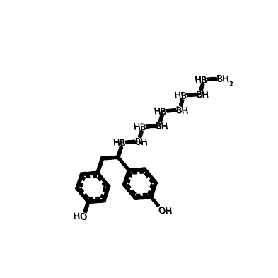 BBBBBBBBBBC(Cc1ccc(O)cc1)c1ccc(O)cc1